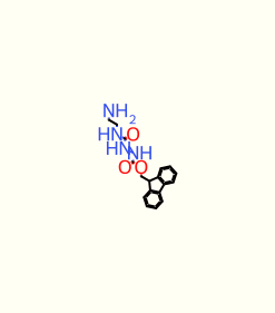 NCCNC(=O)NNC(=O)OCC1c2ccccc2-c2ccccc21